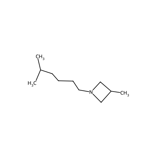 CC(C)CCCCN1CC(C)C1